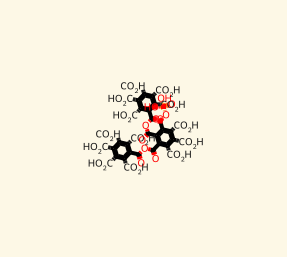 O=C(O)c1c(C(=O)O)c(C(=O)O)c(C(=O)OC(=O)c2c(C(=O)O)c(C(=O)O)c(C(=O)O)c(C(=O)OP(=O)(O)O)c2C(=O)OC(=O)c2c(C(=O)O)c(C(=O)O)c(C(=O)O)c(C(=O)O)c2C(=O)O)c(C(=O)O)c1C(=O)O